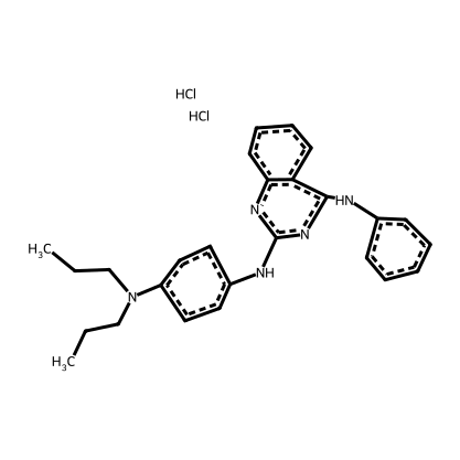 CCCN(CCC)c1ccc(Nc2nc(Nc3ccccc3)c3ccccc3n2)cc1.Cl.Cl